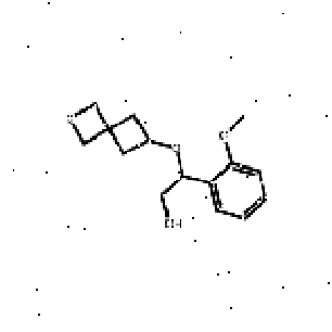 COc1ccccc1C(CO)OC1CC2(COC2)C1